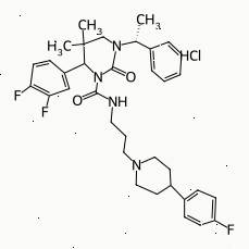 C[C@H](c1ccccc1)N1CC(C)(C)C(c2ccc(F)c(F)c2)N(C(=O)NCCCN2CCC(c3ccc(F)cc3)CC2)C1=O.Cl